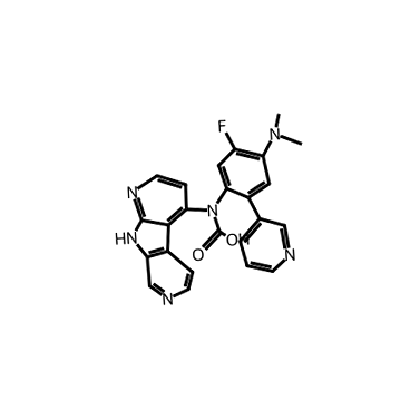 CN(C)c1cc(-c2cccnc2)c(N(C(=O)O)c2ccnc3[nH]c4cnccc4c23)cc1F